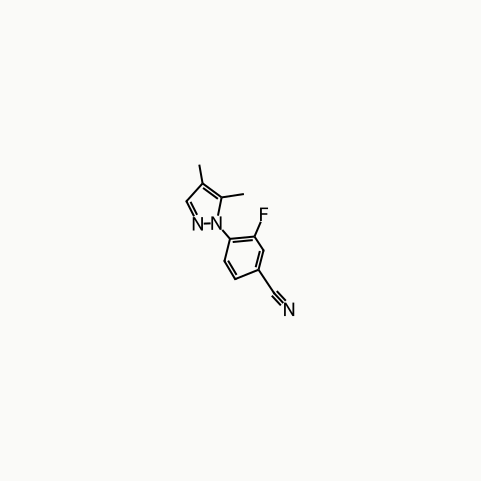 Cc1cnn(-c2ccc(C#N)cc2F)c1C